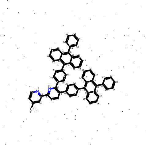 Cc1ccnc(-c2ccc(-c3ccc(-c4c5ccccc5c(-c5ccccc5)c5ccccc45)cc3)c(-c3ccc(-c4c5ccccc5c(-c5ccccc5)c5ccccc45)cc3)n2)c1